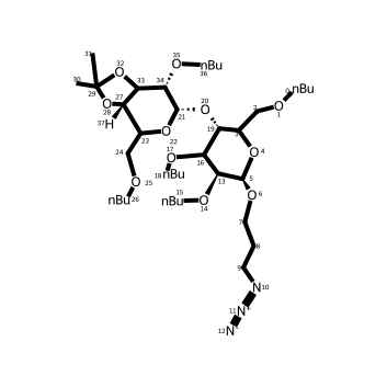 CCCCOCC1O[C@@H](OCCCN=[N+]=[N-])[C@@H](OCCCC)C(OCCCC)[C@@H]1O[C@@H]1OC(COCCCC)[C@@H]2OC(C)(C)OC2[C@@H]1OCCCC